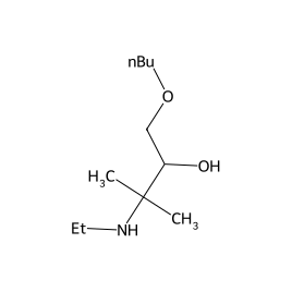 CCCCOCC(O)C(C)(C)NCC